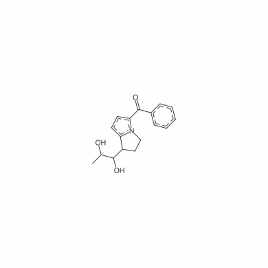 CC(O)C(O)C1CCn2c(C(=O)c3ccccc3)ccc21